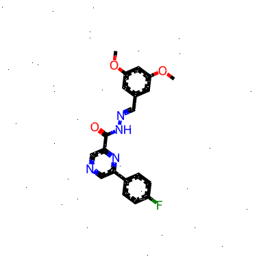 COc1cc(C=NNC(=O)c2cncc(-c3ccc(F)cc3)n2)cc(OC)c1